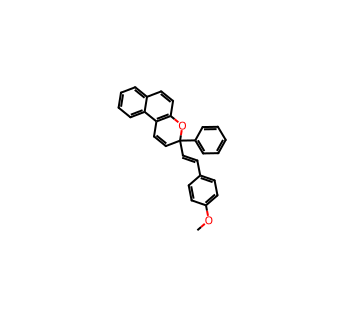 COc1ccc(C=CC2(c3ccccc3)C=Cc3c(ccc4ccccc34)O2)cc1